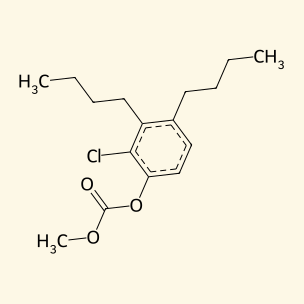 CCCCc1ccc(OC(=O)OC)c(Cl)c1CCCC